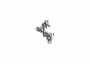 CCc1nc(NCC(COC=O)N2CCc3c([nH]c4ccc(Cl)cc34)C2)ccc1Cl